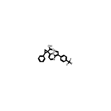 O=C(O)C1(c2ccnc3c(-c4ccc(C(F)(F)F)cc4)cnn23)CC1c1ccccc1